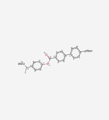 CCCCCCCCCc1ccc(-c2ccc(C(=O)Oc3ccc(C(C)OC)cc3)cc2)cc1